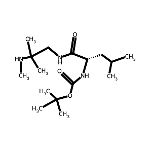 CNC(C)(C)CNC(=O)[C@H](CC(C)C)NC(=O)OC(C)(C)C